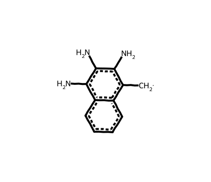 [CH2]c1c(N)c(N)c(N)c2ccccc12